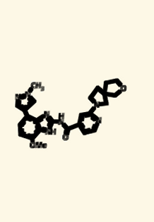 COc1ccc(-c2cnn(C)c2)c2nc(NC(=O)c3ccnc(N4CCC5(CCOC5)C4)c3)[nH]c12